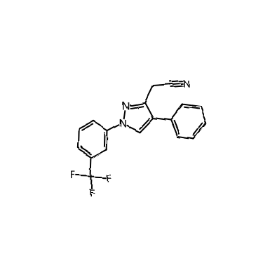 N#CCc1nn(-c2cccc(C(F)(F)F)c2)cc1-c1ccccc1